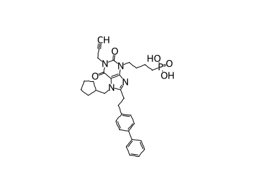 C#CCn1c(=O)c2c(nc(CCc3ccc(-c4ccccc4)cc3)n2CC2CCCC2)n(CCCCP(=O)(O)O)c1=O